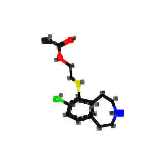 CC(C)(C)C(=O)OCCSc1c(Cl)ccc2c1CCNCC2